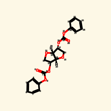 O=C(Oc1ccccc1)O[C@H]1CO[C@H]2[C@@H]1OC[C@H]2OC(=O)Oc1ccccc1